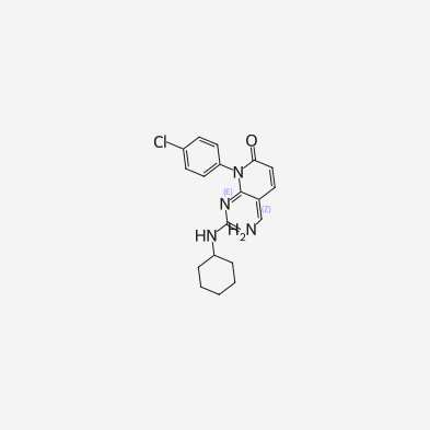 C=C(/N=C1\C(=C/N)C=CC(=O)N1c1ccc(Cl)cc1)NC1CCCCC1